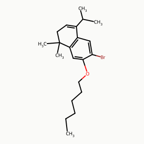 CCCCCCOc1cc2c(cc1Br)C(C(C)C)=CCC2(C)C